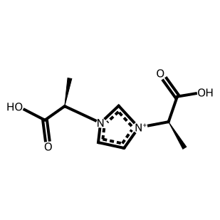 C[C@H](C(=O)O)n1cc[n+]([C@H](C)C(=O)O)c1